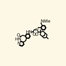 CNCc1ccccc1CN(CC(=O)Nc1ccc2c(c1)CC(=O)Nc1ncccc1C2)C(=O)C1(C)CC2CC(C)CC(C2)C1